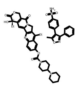 CCc1c2c(nc3ccc(OC(=O)N4CCC(N5CCCCC5)CC4)cc13)-c1cc3c(c(=O)n1C2)COC(=O)[C@]3(O)CC.Cc1onc(-c2ccccc2)c1-c1ccc(S(N)(=O)=O)cc1